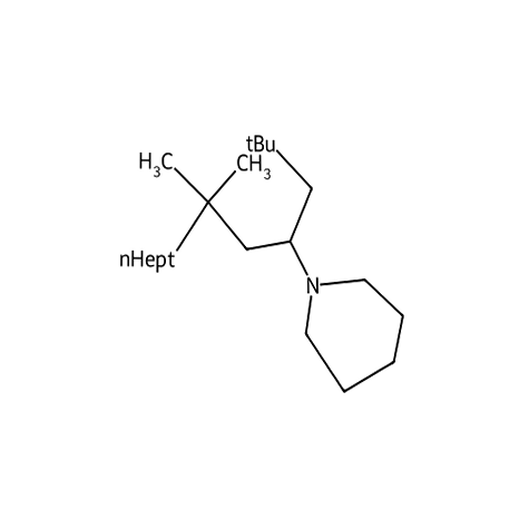 [CH2]C(C)(C)CC(CC(C)(C)CCCCCCC)N1CCCCC1